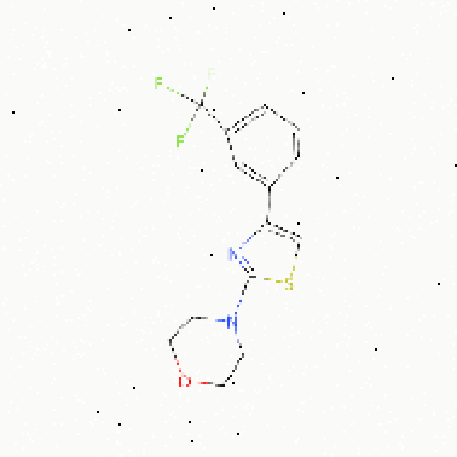 FC(F)(F)c1cccc(-c2csc(N3CCOCC3)n2)c1